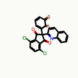 O=C1c2c(Cl)ccc(Cl)c2C(=O)C1(C1=CC=CC(=S)C1=S)c1ccc2ccccc2n1